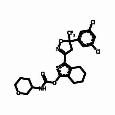 O=C(NC1CCCOC1)Oc1sc(C2=NOC(c3cc(Cl)cc(Cl)c3)(C(F)(F)F)C2)c2c1CCCC2